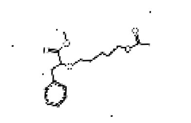 COC(=O)C(Cc1ccccc1)OCCCCCOC(C)=O